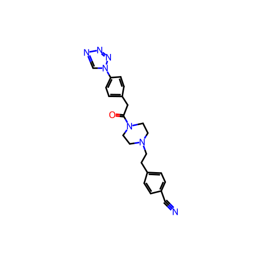 N#Cc1ccc(CCN2CCN(C(=O)Cc3ccc(-n4cnnn4)cc3)CC2)cc1